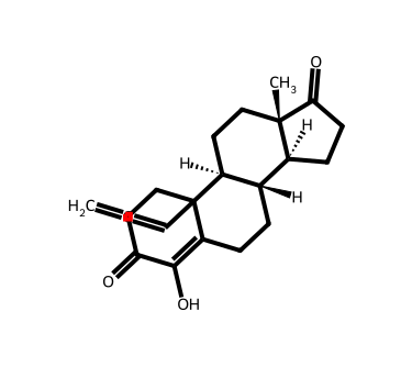 C=C=CC12CCC(=O)C(O)=C1CC[C@@H]1[C@@H]2CC[C@]2(C)C(=O)CC[C@@H]12